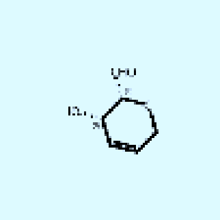 O=C[C@@H]1OCC=C[C@@H]1O